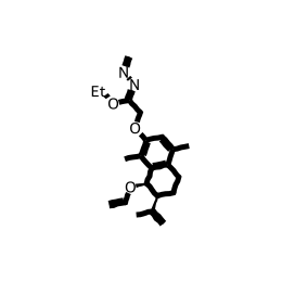 C=CO[C@H]1c2c(C)c(OC/C(=N/N=C)OCC)cc(C)c2CC[C@H]1C(=C)C